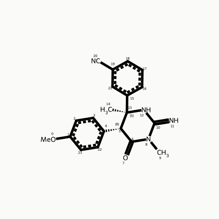 COc1ccc([C@H]2C(=O)N(C)C(=N)N[C@]2(C)c2cccc(C#N)c2)cc1